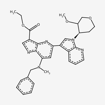 CCOC(=O)c1cnn2c(N(C)Cc3ccccc3)cc(-c3cn([C@@H]4CCOCC4OC)c4ncccc34)nc12